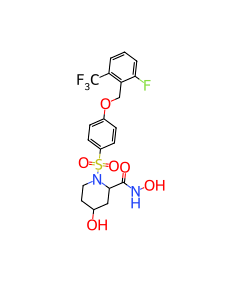 O=C(NO)C1CC(O)CCN1S(=O)(=O)c1ccc(OCc2c(F)cccc2C(F)(F)F)cc1